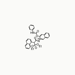 CCOP(=O)(OCC)C(C(=O)Nc1cc2ccccc2cc1OC(=O)Nc1ccccc1)c1cccc2ccccc12